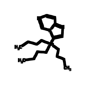 CCC[CH2][Sn]([CH2]CCC)([CH2]CCC)[c]1cnc2ccncn12